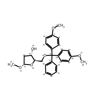 COc1ccc(C(OC[C@H]2O[C@H](OC)C[C@@H]2O)(c2ccccc2)c2ccc(OC)cc2)cc1